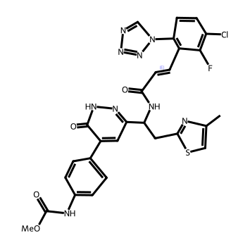 COC(=O)Nc1ccc(-c2cc(C(Cc3nc(C)cs3)NC(=O)/C=C/c3c(-n4cnnn4)ccc(Cl)c3F)n[nH]c2=O)cc1